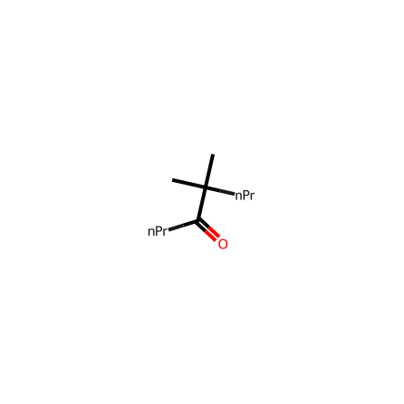 [CH2]CCC(C)(C)C(=O)CCC